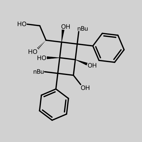 CCCCC1(c2ccccc2)C(O)[C@@]2(O)C(CCCC)(c3ccccc3)[C@@](O)([C@H](O)CO)[C@@]12O